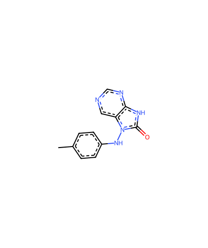 Cc1ccc(Nn2c(=O)[nH]c3ncncc32)cc1